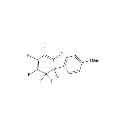 COc1ccc(C2(F)C(F)=C(F)C(F)=C(F)C2(F)I)cc1